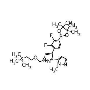 Cn1nccc1-c1nn(COCC[Si](C)(C)C)cc1-c1ccc(B2OC(C)(C)C(C)(C)O2)c(F)c1F